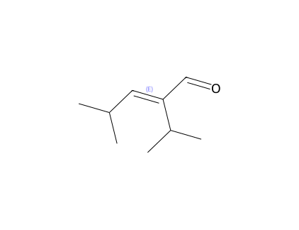 CC(C)/C=C(/C=O)C(C)C